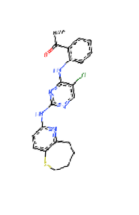 CNC(=O)c1ccccc1Nc1nc(Nc2ccc3c(n2)CCCCS3)ncc1Cl